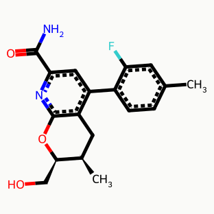 Cc1ccc(-c2cc(C(N)=O)nc3c2C[C@@H](C)[C@@H](CO)O3)c(F)c1